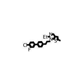 CCC1N=Cc2cc(C)sc2N1CCCc1ccc(-c2ccc(Cl)c(F)c2)cc1